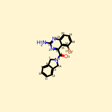 Nc1nc(C(=O)N2Cc3ccccc3C2)c2c(Br)cccc2n1